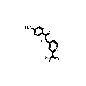 CNC(=O)c1cc(NC(=O)c2ccc(N)cc2)ccn1